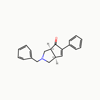 O=C1C(c2ccccc2)=C[C@H]2CN(Cc3ccccc3)C[C@@H]12